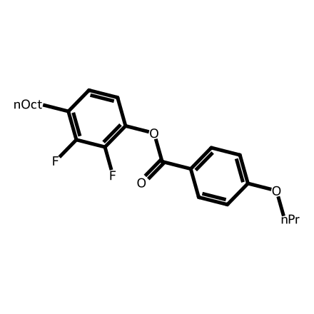 CCCCCCCCc1ccc(OC(=O)c2ccc(OCCC)cc2)c(F)c1F